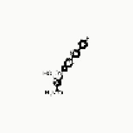 NC(=O)c1cc(CN(C(=O)O)C2CC3(CCN(c4ccc(-c5ccc(F)cc5)cn4)CC3)C2)on1